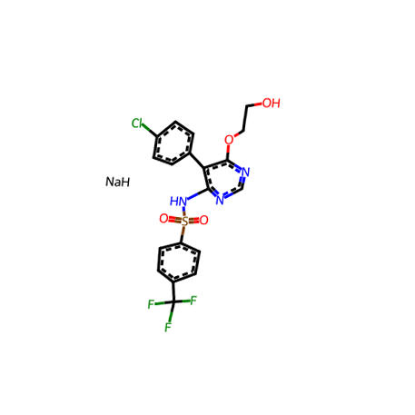 O=S(=O)(Nc1ncnc(OCCO)c1-c1ccc(Cl)cc1)c1ccc(C(F)(F)F)cc1.[NaH]